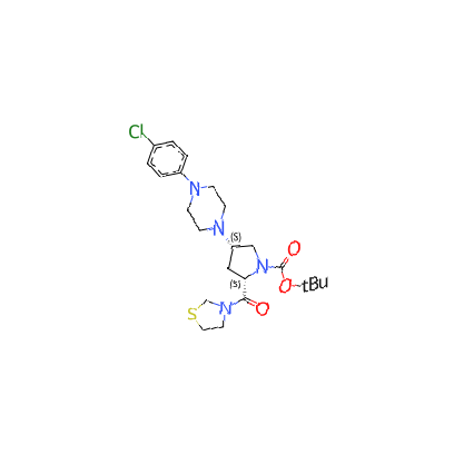 CC(C)(C)OC(=O)N1C[C@@H](N2CCN(c3ccc(Cl)cc3)CC2)C[C@H]1C(=O)N1CCSC1